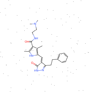 Cc1[nH]c(C=C2C(=O)NN=C2CCc2ccccc2)c(C)c1C(=O)NCCN(C)C